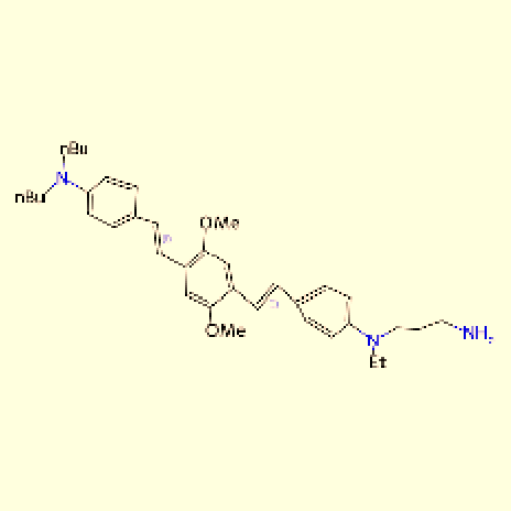 CCCCN(CCCC)c1ccc(/C=C/c2cc(OC)c(/C=C/c3ccc(N(CC)CCCN)cc3)cc2OC)cc1